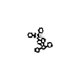 c1ccc(C2=NC(c3ccc4c5c(cccc35)-c3c(-c5ccccc5)ccc(-c5ccccc5)c3-4)NC(c3ccccc3)=N2)cc1